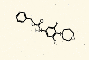 O=C(Nc1cc(F)c(N2CCCOCC2)c(F)c1)OCc1ccccc1